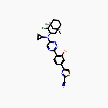 C[C@]12CCC[C@](C)(C1)[C@H](F)[C@H](N(c1cnc(-c3ccc(-c4csc(C#N)n4)cc3O)nn1)C1CC1)C2